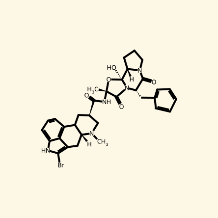 CN1C[C@H](C(=O)N[C@]2(C)O[C@@]3(O)[C@@H]4CCCN4C(=O)[C@H](Cc4ccccc4)N3C2=O)CC2c3cccc4[nH]c(Br)c(c34)C[C@H]21